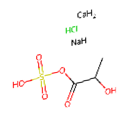 CC(O)C(=O)OS(=O)(=O)O.Cl.[CaH2].[NaH]